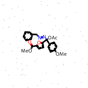 COC(=O)c1ccc(C(N=NCc2ccccc2)(OC(C)=O)c2ccc(OC)cc2)o1